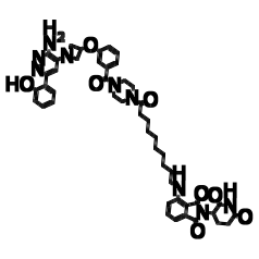 Nc1nnc(-c2ccccc2O)cc1N1CC(Oc2cccc(C(=O)N3CCN(C(=O)CCCCCCCCCNc4cccc5c4C(=O)N(C4CCC(=O)NC4=O)C5=O)CC3)c2)C1